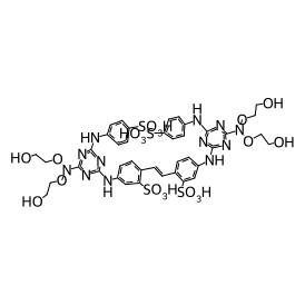 O=S(=O)(O)c1ccc(Nc2nc(Nc3ccc(C=Cc4ccc(Nc5nc(Nc6ccc(S(=O)(=O)O)cc6)nc(N(OCCO)OCCO)n5)cc4S(=O)(=O)O)c(S(=O)(=O)O)c3)nc(N(OCCO)OCCO)n2)cc1